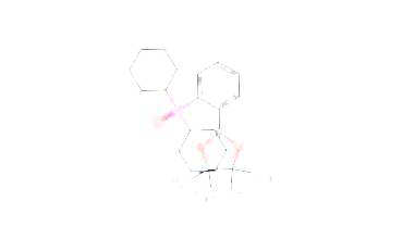 CC1(C)OB(c2ccccc2P(=O)(C2CCCCC2)C2CCCCC2)OC1(C)C